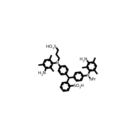 CCCN(c1ccc(C(c2ccc(N(CCCS(=O)(=O)O)c3c(C)cc(C)c(N)c3C)cc2)c2ccccc2S(=O)(=O)O)cc1)c1c(C)cc(C)c(N)c1C